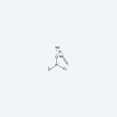 [Cl][Pr]([Cl])[Cl].[Nd].[O]=[Nd].[Pr]